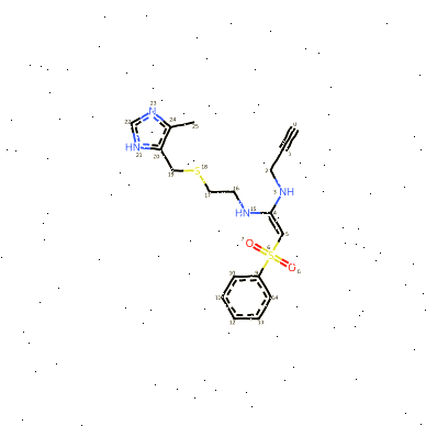 C#CCNC(=CS(=O)(=O)c1ccccc1)NCCSCc1[nH]cnc1C